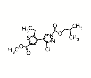 CCc1sc(C(=O)OC)cc1-c1cn(C(=O)OCC(C)C)nc1Cl